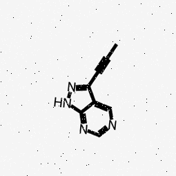 CC#Cc1n[nH]c2ncncc12